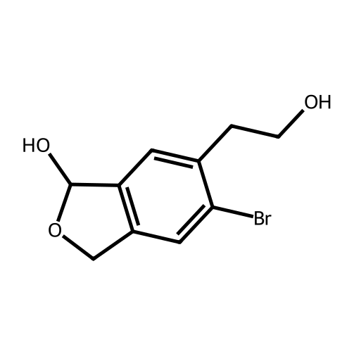 OCCc1cc2c(cc1Br)COC2O